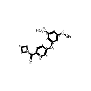 CCCOc1cc(Oc2ccc(C(=O)N3CCC3)nc2)cc(C(=O)O)c1